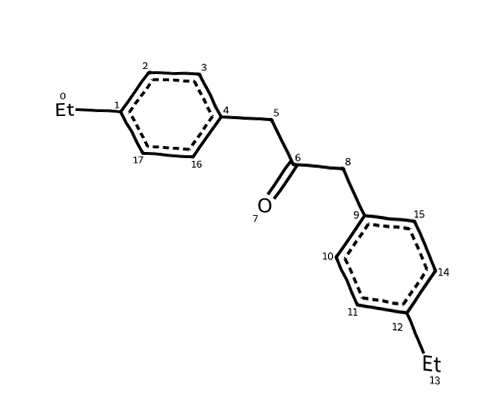 CCc1ccc(CC(=O)Cc2ccc(CC)cc2)cc1